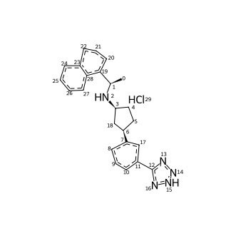 C[C@@H](N[C@H]1CC[C@@H](c2cccc(-c3nn[nH]n3)c2)C1)c1cccc2ccccc12.Cl